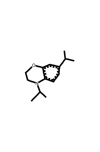 CC(C)c1ccc2c(c1)OCCN2C(C)C